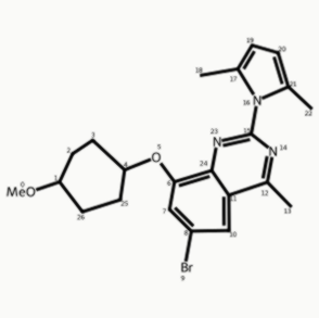 COC1CCC(Oc2cc(Br)cc3c(C)nc(-n4c(C)ccc4C)nc23)CC1